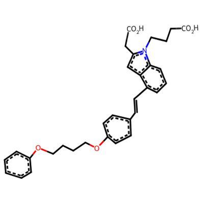 O=C(O)CCCn1c(CC(=O)O)cc2c(/C=C/c3ccc(OCCCCOc4ccccc4)cc3)cccc21